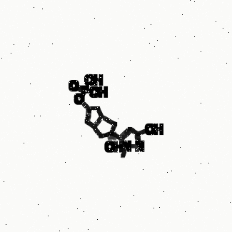 Cn1nc(O)cc1[C@@]1(O)CC2C=C(OP(=O)(O)O)CC2C1